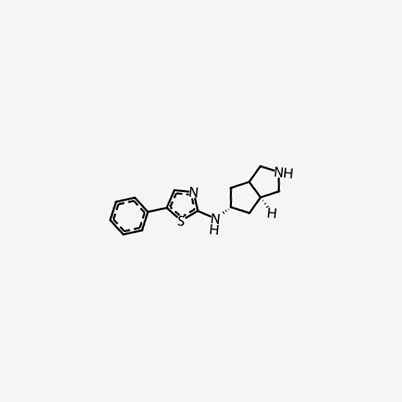 c1ccc(-c2cnc(N[C@@H]3CC4CNC[C@H]4C3)s2)cc1